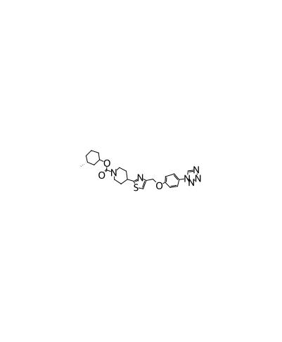 C[C@@H]1CCCC(OC(=O)N2CCC(c3nc(COc4ccc(-n5cnnn5)cc4)cs3)CC2)C1